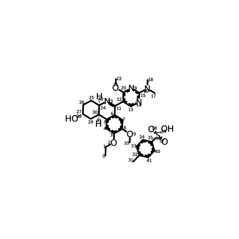 CCOc1cc2c(cc1OC)C(c1cnc(N(C)C)nc1OC)=N[C@@H]1CC[C@@H](O)C[C@H]21.Cc1ccc(S(=O)(=O)O)cc1